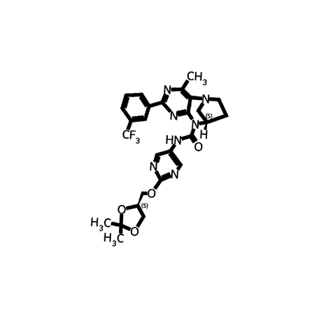 Cc1nc(-c2cccc(C(F)(F)F)c2)nc2c1N1CC[C@@H](C1)N2C(=O)Nc1cnc(OC[C@H]2COC(C)(C)O2)nc1